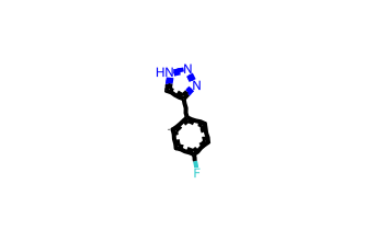 Fc1c[c]c(-c2c[nH]nn2)cc1